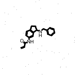 C=CC(=O)Nc1ccc2c(c1)C(NCc1ccccc1)CC2